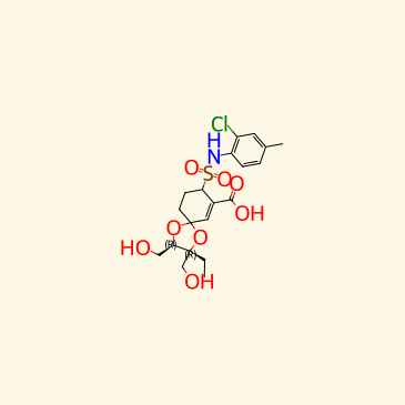 CC[C@]1(CO)OC2(C=C(C(=O)O)C(S(=O)(=O)Nc3ccc(C)cc3Cl)CC2)O[C@@H]1CO